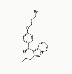 CCCc1cn2ccccc2c1C(=O)c1ccc(OCCCBr)cc1